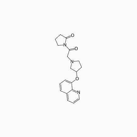 O=C1CCCN1C(=O)CN1CCC(Oc2cccc3cccnc23)C1